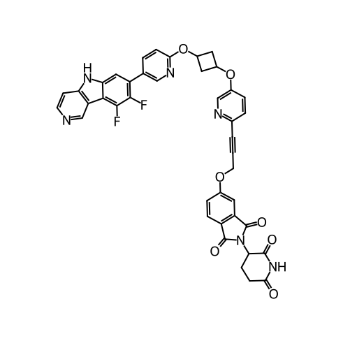 O=C1CCC(N2C(=O)c3ccc(OCC#Cc4ccc(OC5CC(Oc6ccc(-c7cc8[nH]c9ccncc9c8c(F)c7F)cn6)C5)cn4)cc3C2=O)C(=O)N1